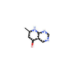 Cc1cc(=O)c2cncnc2[nH]1